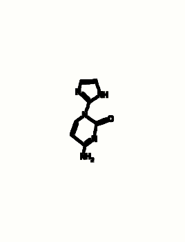 Nc1ccn(-c2ncc[nH]2)c(=O)n1